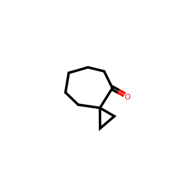 O=C1CCCCCC12CC2